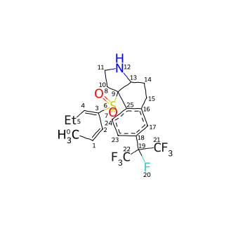 C/C=C\C(=C/CC)S(=O)(=O)C12CCNC1CCc1cc(C(F)(C(F)(F)F)C(F)(F)F)ccc12